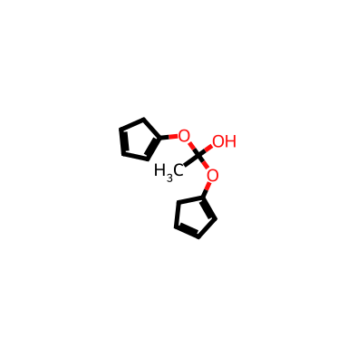 CC(O)(OC1=CC=CC1)OC1=CC=CC1